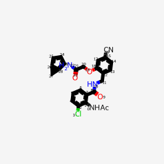 CC(=O)Nc1c(Cl)cccc1C(=O)NCc1ccc(C#N)cc1OCC(N)=O.c1cc2cc-2c1